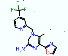 CC1=C(c2ncco2)N=C(N)CN1Cc1cc(C(F)(F)F)ccn1